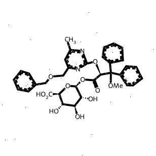 COC(c1ccccc1)(c1ccccc1)[C@H](Oc1nc(C)cc(COCc2ccccc2)n1)C(=O)O[C@@H]1O[C@H](C(=O)O)[C@@H](O)[C@H](O)[C@H]1O